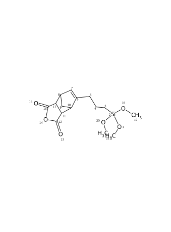 CO[Si](CCCC1=CC2CC1C1C(=O)OC(=O)C21)(OC)OC